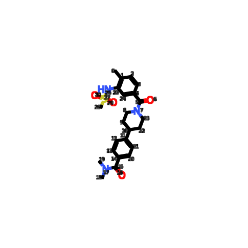 Cc1ccc(C(=O)N2CCC(c3ccc(C(=O)N(C)C)cc3)CC2)cc1NS(C)(=O)=O